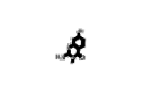 CC(C)c1ccc2c(=O)n(C)c(N)nc2c1